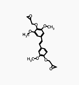 COc1cc(C=Cc2cc(OC)c(OCC3CO3)c(OC)c2)ccc1OCC1CO1